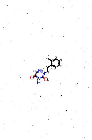 Cc1ccccc1CCn1ncc(=O)[nH]c1=O